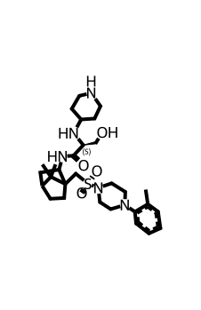 Cc1ccccc1N1CCN(S(=O)(=O)CC23CCC(CC2NC(=O)[C@H](CO)NC2CCNCC2)C3(C)C)CC1